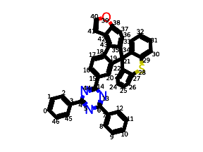 c1ccc(-c2nc(-c3ccccc3)nc(-c3ccc4c(c3)C3(c5ccccc5Sc5ccccc53)c3ccc5occc5c3-4)n2)cc1